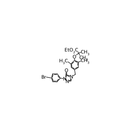 CCOC(=O)C(C)(C)Oc1c(C)cc(Cn2cnn(-c3ccc(Br)cc3)c2=O)cc1C